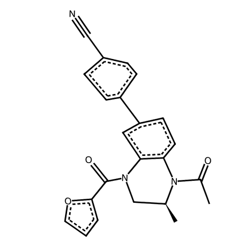 CC(=O)N1c2ccc(-c3ccc(C#N)cc3)cc2N(C(=O)c2ccco2)C[C@@H]1C